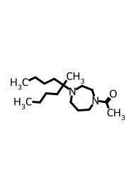 CCCCC(C)(CCCC)N1CCCN(C(C)=O)CC1